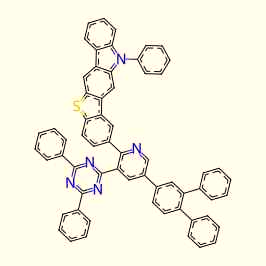 c1ccc(-c2nc(-c3ccccc3)nc(-c3cc(-c4ccc(-c5ccccc5)c(-c5ccccc5)c4)cnc3-c3ccc4sc5cc6c7ccccc7n(-c7ccccc7)c6cc5c4c3)n2)cc1